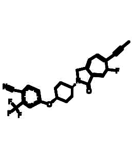 CC#CC1=CC=C2CN([C@H]3CC[C@H](Oc4ccc(C#N)c(C(F)(F)F)c4)CC3)C(=O)C2=CC1F